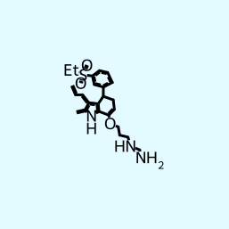 C=C/C=c1/c2c([nH]c1=C)C(OCCCNCN)=CCC2c1cccc(S(=O)(=O)CC)c1